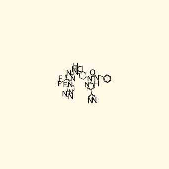 Cl.Cn1cc(-c2ccc(N(C(=O)NCc3ccccc3)[C@H]3CC[C@H](Nc4ncc(C(F)(F)F)c(N5CCn6ncnc6C5)n4)CC3)nc2)cn1